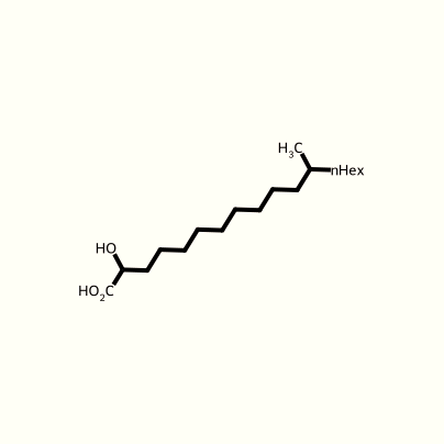 CCCCCCC(C)CCCCCCCCCC(O)C(=O)O